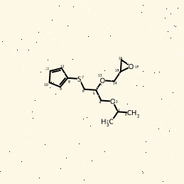 CC(C)OCC(CSC1=CCC=C1)OCC1CO1